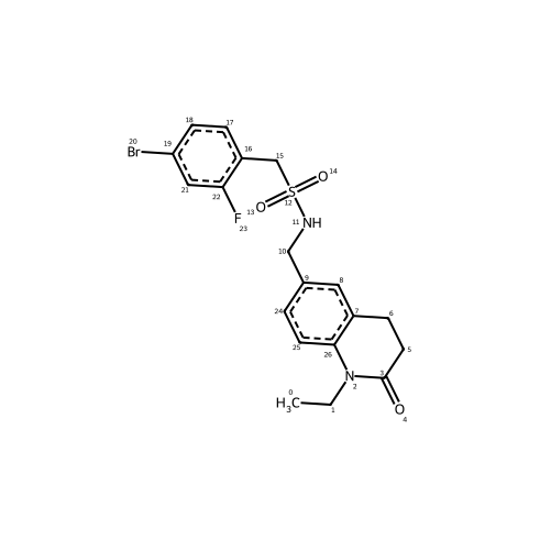 CCN1C(=O)CCc2cc(CNS(=O)(=O)Cc3ccc(Br)cc3F)ccc21